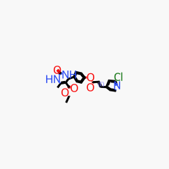 CCOC(=O)C1=C(C)NC(=O)NC1c1ccc(OC(=O)/C=C/c2ccnc(Cl)c2)cc1